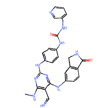 CNc1nc(Nc2ccc(NC(=O)Nc3cccnc3)cc2)nc(Nc2ccc3c(c2)CNC3=O)c1C=N